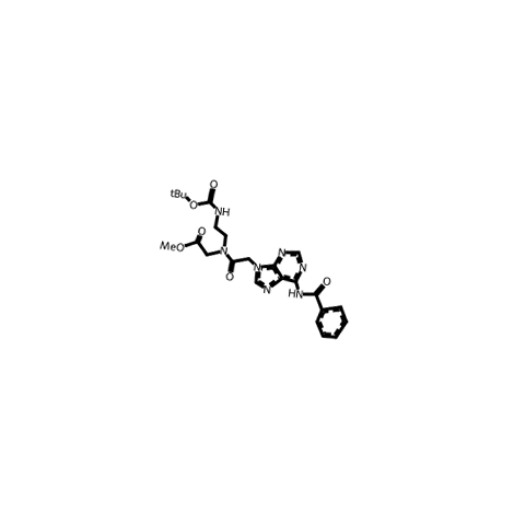 COC(=O)CN(CCNC(=O)OC(C)(C)C)C(=O)Cn1cnc2c(NC(=O)c3ccccc3)ncnc21